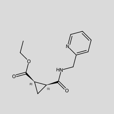 CCOC(=O)[C@@H]1C[C@@H]1C(=O)NCc1ccccn1